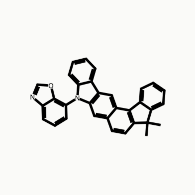 CC1(C)c2ccccc2-c2c1ccc1cc3c(cc21)c1ccccc1n3-c1cccc2ncoc12